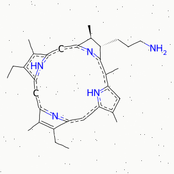 CCC1=C(C)c2cc3[nH]c(cc4nc(c(C)c5cc(C)c(cc1n2)[nH]5)[C@@H](CCCN)[C@@H]4C)c(C)c3CC